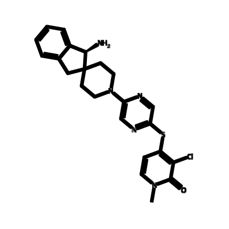 Cn1ccc(Sc2cnc(N3CCC4(CC3)Cc3ccccc3[C@H]4N)cn2)c(Cl)c1=O